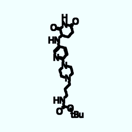 CC(C)(C)OC(=O)NCCCN1CCN(c2ccc(NC3CCC(=O)NC3=O)cn2)CC1